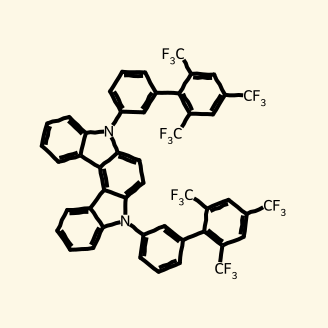 FC(F)(F)c1cc(C(F)(F)F)c(-c2cccc(-n3c4ccccc4c4c5c6ccccc6n(-c6cccc(-c7c(C(F)(F)F)cc(C(F)(F)F)cc7C(F)(F)F)c6)c5ccc43)c2)c(C(F)(F)F)c1